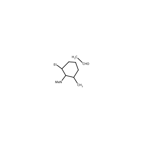 CC=O.CCC1CCCC(C)C1NC